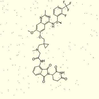 COc1cc2nc(C)nc(N[C@H](C)c3cccc(C(F)(F)F)c3F)c2cc1OCC1(CN(C)CC(=O)Nc2cccc3c2C(=O)N(C2CCC(=O)NC2=O)C3=O)CC1